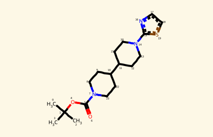 CC(C)(C)OC(=O)N1CCC(C2CCN(c3nccs3)CC2)CC1